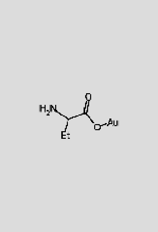 CCC(N)C(=O)[O][Au]